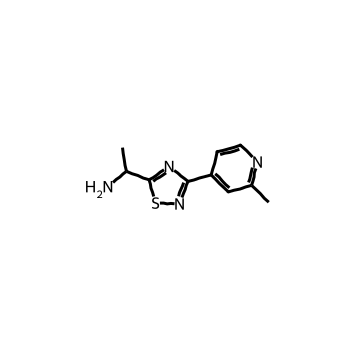 Cc1cc(-c2nsc(C(C)N)n2)ccn1